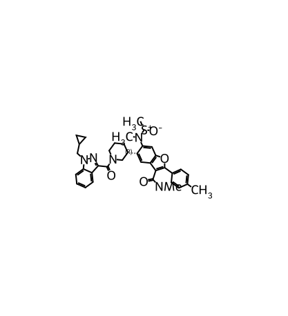 CNC(=O)c1c(-c2ccc(C)cc2)oc2cc(N(C)[S+](C)[O-])c([C@H]3CCCN(C(=O)c4nn(CC5CC5)c5ccccc45)C3)cc12